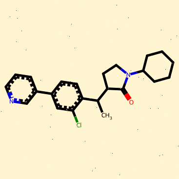 CC(c1ccc(-c2cccnc2)cc1Cl)C1CCN(C2CCCCC2)C1=O